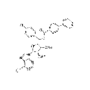 CC(=O)O[C@@H]1[C@H](OC(C)=O)[C@@H](C(OC(=O)c2ccc(-c3ccccc3)cc2)c2ccc(Cl)cc2)O[C@@H]1n1cnc2c(Cl)ncnc21